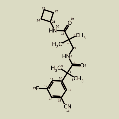 CC(C)(CNC(=O)C(C)(C)c1cc(F)cc(C#N)c1)C(=O)NC1CCC1